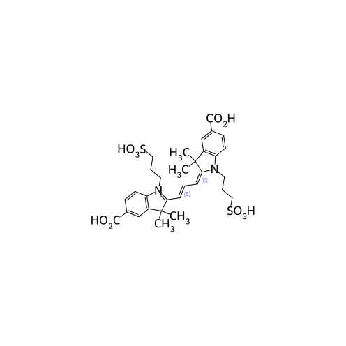 CC1(C)C(/C=C/C=C2/N(CCCS(=O)(=O)O)c3ccc(C(=O)O)cc3C2(C)C)=[N+](CCCS(=O)(=O)O)c2ccc(C(=O)O)cc21